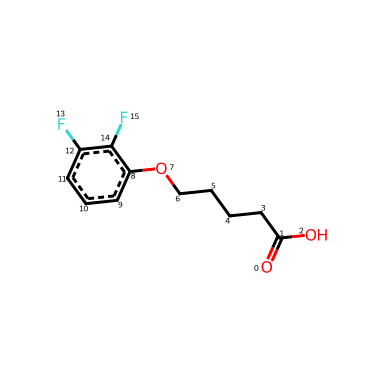 O=C(O)CCCCOc1cccc(F)c1F